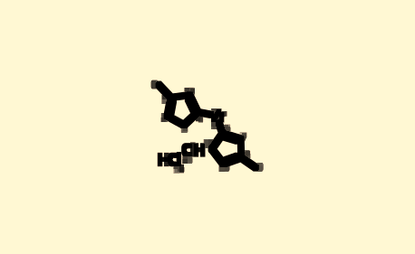 CC1=CC[C]([Zr][C]2=CC(C)=CC2)=C1.Cl.Cl